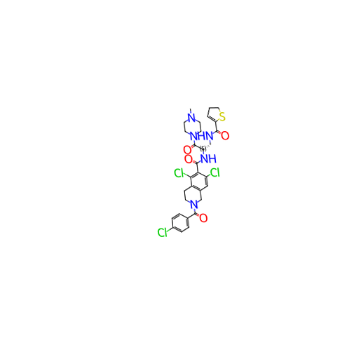 CN1CCN(C(=O)[C@H](CNC(=O)C2=CCCS2)NC(=O)c2c(Cl)cc3c(c2Cl)CCN(C(=O)c2ccc(Cl)cc2)C3)CC1